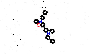 c1ccc(-c2ccc(N3c4ccccc4Oc4cc(-c5ccc6c(c5)c5ccccc5n6-c5cccc(-c6ccccc6)c5)ccc43)cc2)cc1